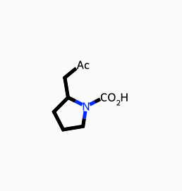 CC(=O)CC1CCCN1C(=O)O